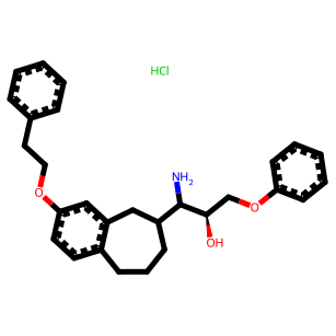 Cl.NC(C1CCCc2ccc(OCCc3ccccc3)cc2C1)[C@H](O)COc1ccccc1